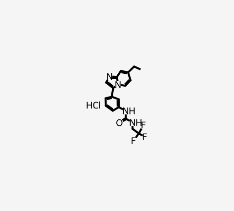 CCc1ccn2c(-c3cccc(NC(=O)NCC(F)(F)F)c3)cnc2c1.Cl